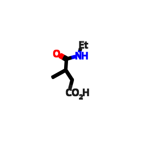 CCNC(=O)C(C)CC(=O)O